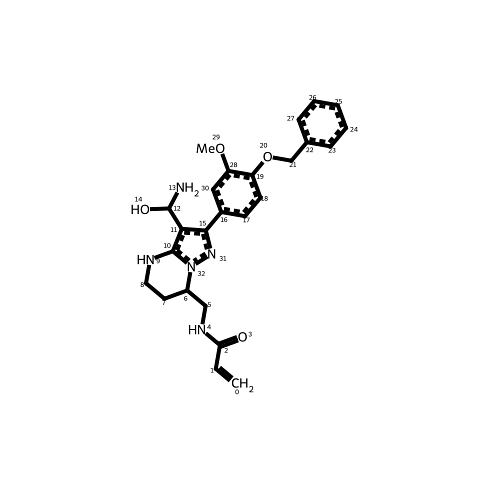 C=CC(=O)NCC1CCNc2c(C(N)O)c(-c3ccc(OCc4ccccc4)c(OC)c3)nn21